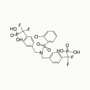 O=P(O)(O)C(F)(F)c1ccc(CN(Cc2ccc(C(F)(F)P(=O)(O)O)cc2)S(=O)(=O)c2ccccc2Cl)cc1